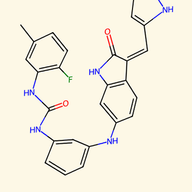 Cc1ccc(F)c(NC(=O)Nc2cccc(Nc3ccc4c(c3)NC(=O)/C4=C\c3ccc[nH]3)c2)c1